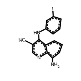 N#Cc1cnc2c(N)cccc2c1Nc1cccc(I)c1